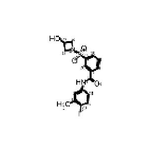 Cc1cc(NC(=O)c2cccc(S(=O)(=O)N3CC(O)C3)c2)ccc1F